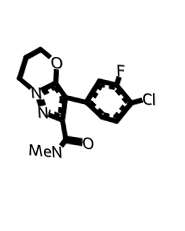 CNC(=O)c1nn2c(c1-c1ccc(Cl)c(F)c1)OCCC2